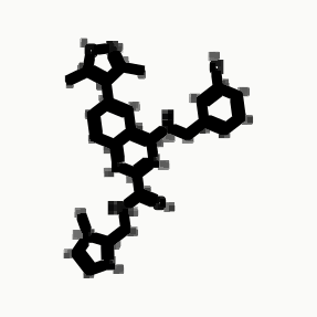 Cc1noc(C)c1-c1ccc2nc(C(=O)NCc3nccn3C)nc(NCc3cccc(Cl)c3)c2c1